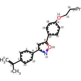 C=C(C)c1ccc(-c2cc(-c3ccc(OCCC(C)C)cc3)on2)cc1